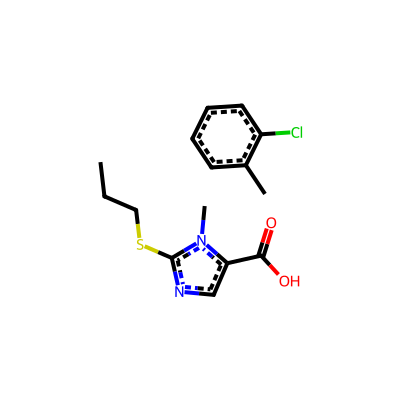 CCCSc1ncc(C(=O)O)n1C.Cc1ccccc1Cl